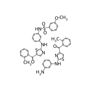 COc1cccc(S(=O)(=O)Nc2cccc(Nc3ncc(C(=O)c4ccccc4C)s3)c2)c1.Cc1ccccc1C(=O)c1csc(Nc2cccc(N)c2)n1